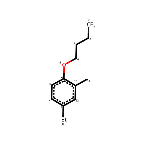 CCc1ccc(OCCCC(F)(F)F)c(C)c1